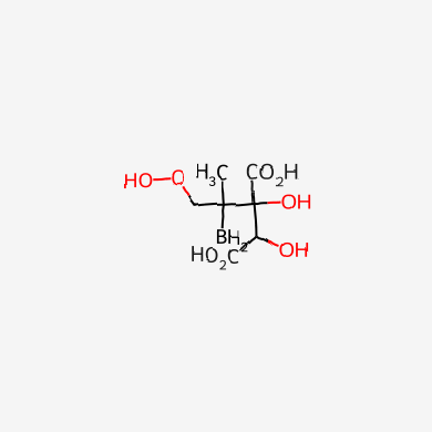 BC(C)(COO)C(O)(C(=O)O)C(O)C(=O)O